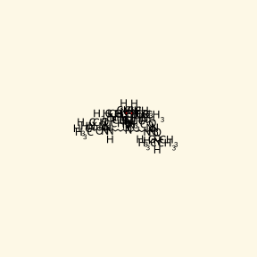 CC1(C)CC(Oc2nc(NCCCCCCN(CCCCCCNc3nc(OC4CC(C)(C)NC(C)(C)C4)nc(OC4CC(C)(C)NC(C)(C)C4)n3)c3nc(OC4CC(C)(C)NC(C)(C)C4)nc(OC4CC(C)(C)NC(C)(C)C4)n3)nc(OC3CC(C)(C)NC(C)(C)C3)n2)CC(C)(C)N1